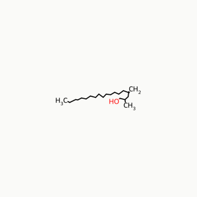 C=C(CCCCCCCCCCCCCCC)CC(C)CO